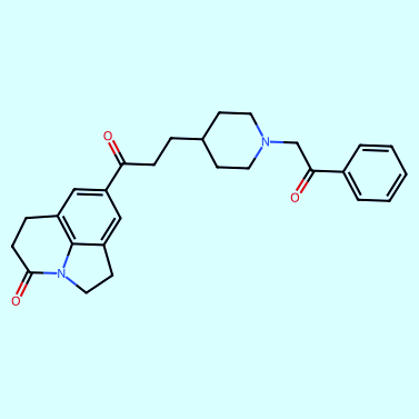 O=C(CCC1CCN(CC(=O)c2ccccc2)CC1)c1cc2c3c(c1)CCN3C(=O)CC2